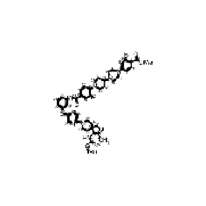 COC(=O)c1ccc(N2CCN(C3CCN(c4ccc(C(=O)Nc5cccc(Sc6cnc(N7CCC8(CC7)CO[C@@H](C)[C@H]8NC(=O)OC(C)(C)C)cn6)c5)cc4F)CC3)CC2)cc1F